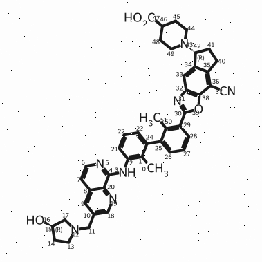 Cc1c(Nc2nccc3cc(CN4CC[C@@H](O)C4)cnc23)cccc1-c1cccc(-c2nc3cc4c(c(C#N)c3o2)CC[C@H]4N2CCC(C(=O)O)CC2)c1C